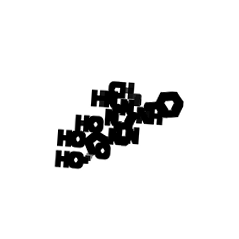 CNc1nc(NCc2ccccc2)c2ncn([C@@H]3O[C@H](CO)[C@@H](O)[C@H]3O)c2n1